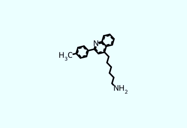 Cc1ccc(-c2cc(CCCCCCN)c3ccccc3n2)cc1